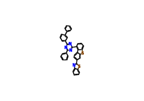 c1ccc(-c2cccc(-c3nc(-c4ccccc4)nc(-c4cccc5sc6cc(-c7nc8ccccc8s7)ccc6c45)n3)c2)cc1